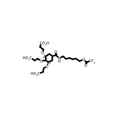 O=C(O)CCOC1[C@H](OCCC(=O)O)CC(C(=O)NCCCCCCOC(=O)C(F)(F)F)C[C@H]1OCCC(=O)O